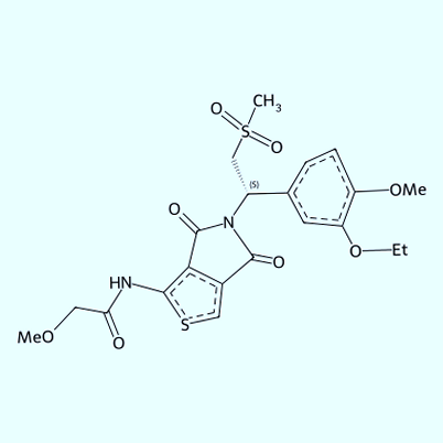 CCOc1cc([C@@H](CS(C)(=O)=O)N2C(=O)c3csc(NC(=O)COC)c3C2=O)ccc1OC